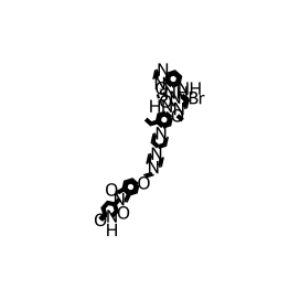 CCc1cc(Nc2ncc(Br)c(Nc3ccc4nccnc4c3NS(C)(=O)=O)n2)c(OC)cc1N1CCC(N2CCN(CCOc3ccc4c(c3)CN(C3CCC(=O)NC3=O)C4=O)CC2)CC1